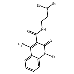 CCN(CC)CCNC(=O)c1c(N)c2ccccc2n(CC)c1=O